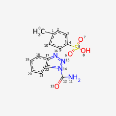 Cc1ccc(S(=O)(=O)O)cc1.NC(=O)n1nnc2ccccc21